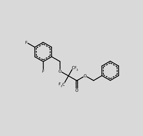 O=C(OCc1ccccc1)C(OCc1ccc(F)cc1F)(C(F)(F)F)C(F)(F)F